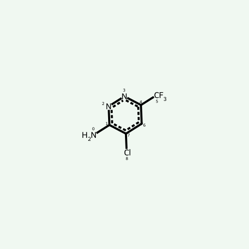 Nc1nnc(C(F)(F)F)cc1Cl